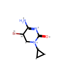 NC1=NC(=O)N(C2CC2)CC1Br